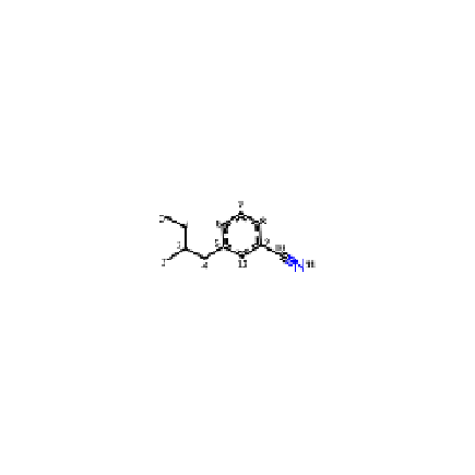 CCC(C)Cc1cccc(C#N)c1